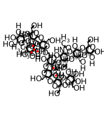 CC(=O)N[C@H]1[C@H](O[C@H]2[C@@H](O)[C@@H](CO)O[C@@H](O[C@H]3[C@H](O)[C@@H](O)[C@H](O)O[C@@H]3CO)[C@@H]2O)O[C@H](CO)[C@@H](O[C@@H]2O[C@H](CO[C@@H]3O[C@H](CO)[C@@H](O[C@@H]4O[C@H](CO)[C@H](O)[C@H](O[C@H]5O[C@H](CO)[C@H](O)[C@H](O)[C@H]5O)[C@H]4O[C@@H]4O[C@@H](C)[C@@H](O)[C@@H](O)[C@@H]4O)[C@H](O)[C@H]3NC(C)=O)[C@H](O)[C@H](O[C@@H]3O[C@H](CO)[C@@H](O[C@@H]4O[C@H](CO)[C@H](O)[C@H](O[C@H]5O[C@H](CO)[C@H](O)[C@H](O)[C@H]5O)[C@H]4O)[C@H](O)[C@H]3NC(C)=O)[C@H]2O)[C@@H]1O